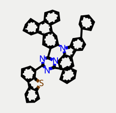 c1ccc(-c2ccc3c4ccccc4n(-c4cc5c6ccccc6c6ccccc6c5cc4-c4nc(-c5ccccc5)nc(-c5cccc6c5sc5ccccc56)n4)c3c2)cc1